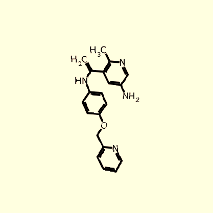 C=C(Nc1ccc(OCc2ccccn2)cc1)c1cc(N)cnc1C